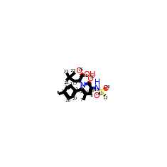 Cc1ccc(-c2c(C)cc(NS(C)(=O)=O)c(=O)n2C(CC(C)(C)C)C(=O)O)cc1